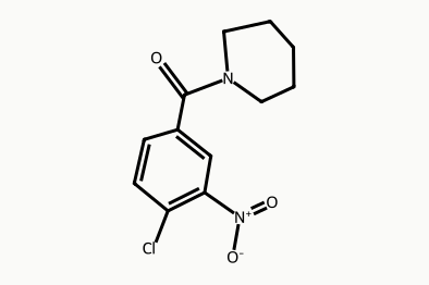 O=C(c1ccc(Cl)c([N+](=O)[O-])c1)N1CCCCC1